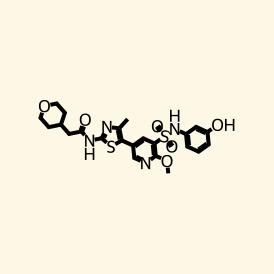 COc1ncc(-c2sc(NC(=O)CC3CCOCC3)nc2C)cc1S(=O)(=O)Nc1cccc(O)c1